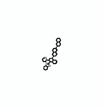 c1ccc2cc(-c3ccc4cc(-c5cc6c7ncccc7n7c8ccccc8nc7c6c6ccccc56)ccc4c3)ccc2c1